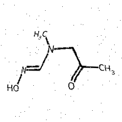 CC(=O)CN(C)C=NO